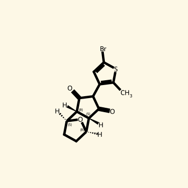 Cc1sc(Br)cc1C1C(=O)[C@@H]2[C@H](C1=O)[C@H]1CC[C@@H]2O1